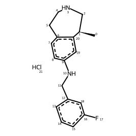 C[C@@H]1CNCCc2ccc(NCc3cccc(F)c3)cc21.Cl